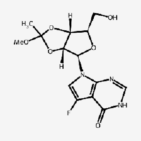 COC1(C)O[C@@H]2[C@H](O1)[C@@H](CO)O[C@H]2n1cc(F)c2c(=O)[nH]cnc21